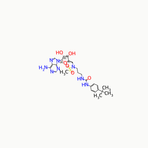 CC(C)(C)c1ccc(NC(=O)NCCCN(C[C@H]2O[C@@H](n3cnc4c(N)ncnc43)[C@H](O)[C@@H]2O)S(C)(=O)=O)cc1